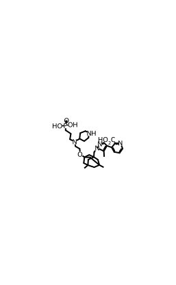 Cc1c(-c2cccnc2C(=O)O)cnn1CC12CC3(C)CC(C)(C1)CC(OCCN(CCCP(=O)(O)O)C1CCNCC1)(C3)C2